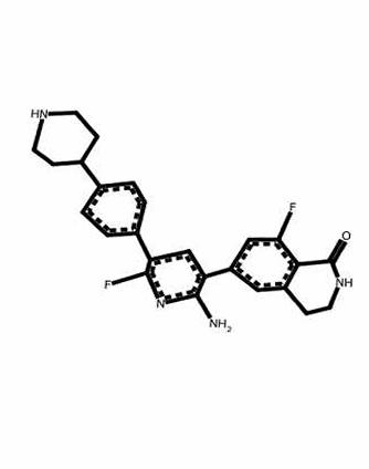 Nc1nc(F)c(-c2ccc(C3CCNCC3)cc2)cc1-c1cc(F)c2c(c1)CCNC2=O